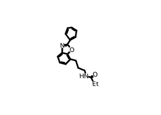 CCC(=O)NCCCc1cccc2nc(-c3ccccc3)oc12